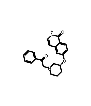 O=C(CN1CCC[C@H](Oc2ccc3c(=O)[nH]ccc3c2)C1)c1ccccc1